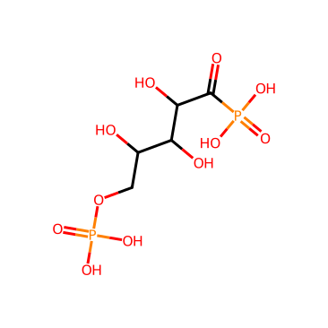 O=C(C(O)C(O)C(O)COP(=O)(O)O)P(=O)(O)O